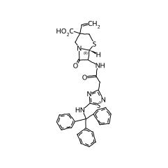 C=CC1(C(=O)O)CS[C@@H]2C(NC(=O)Cc3nsc(NC(c4ccccc4)(c4ccccc4)c4ccccc4)n3)C(=O)N2C1